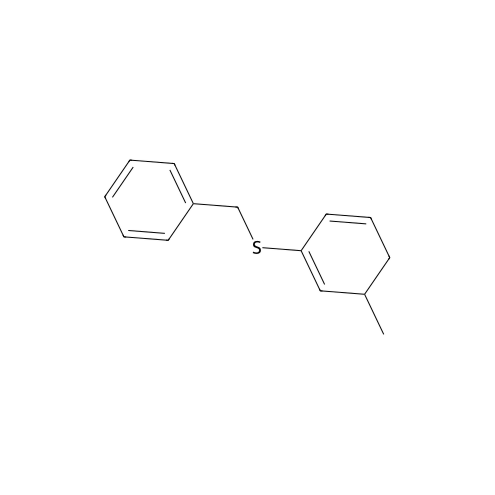 CC1C=C(SCc2ccccc2)C=CC1